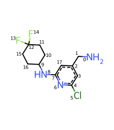 NCc1cc(Cl)nc(NC2CCC(F)(F)CC2)c1